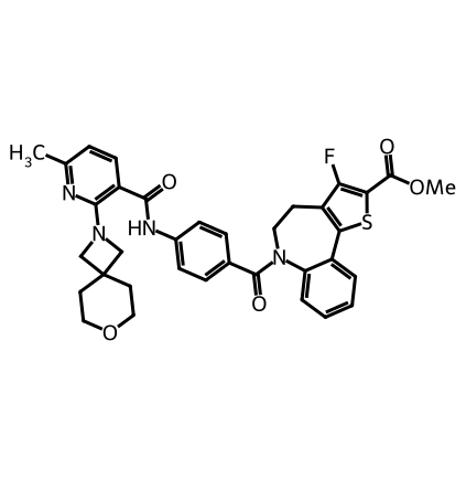 COC(=O)c1sc2c(c1F)CCN(C(=O)c1ccc(NC(=O)c3ccc(C)nc3N3CC4(CCOCC4)C3)cc1)c1ccccc1-2